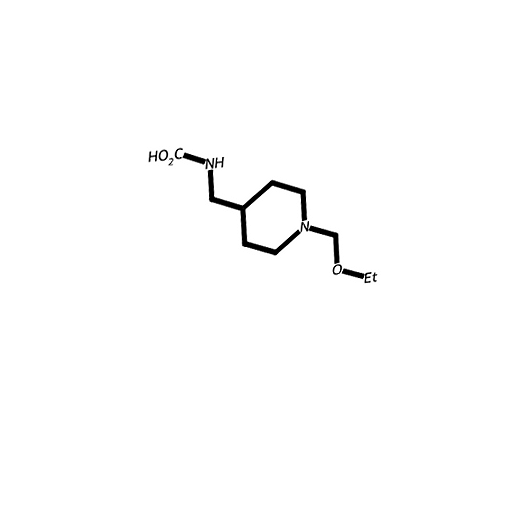 CCOCN1CCC(CNC(=O)O)CC1